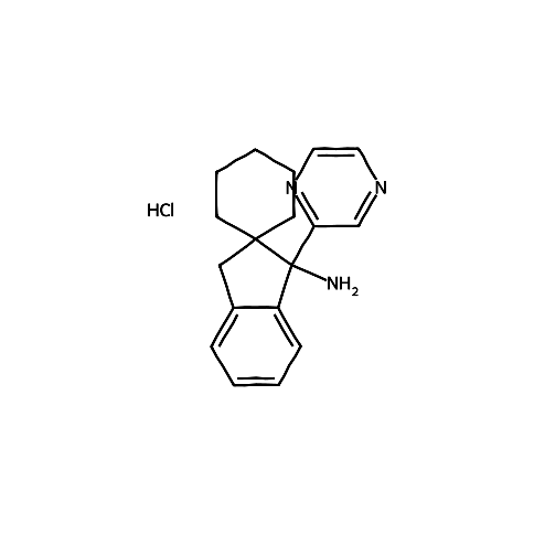 Cl.NC1(c2cnccn2)c2ccccc2CC12CCCCC2